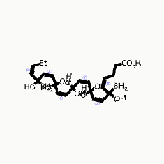 BC(O)(/C=C\CC)/C=C\C(O)(O)/C=C\C(O)(O)/C=C\C(O)(O)/C=C\C(B)(O)/C=C\CCC(=O)O